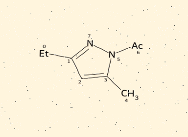 CCc1cc(C)n(C(C)=O)n1